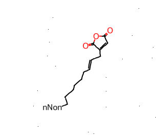 CCCCCCCCCCCCCCC/C=C/CC1=CC(=O)OC1=O